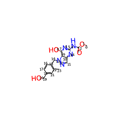 COC(=O)Nc1nc(O)c2c(cnn2Cc2ccc(CO)cc2C)n1